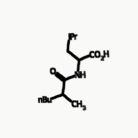 CCCCC(C)C(=O)NC(CC(C)C)C(=O)O